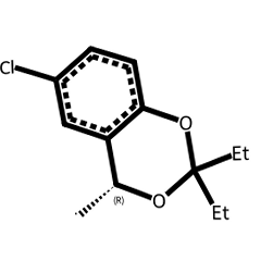 [CH2][C@H]1OC(CC)(CC)Oc2ccc(Cl)cc21